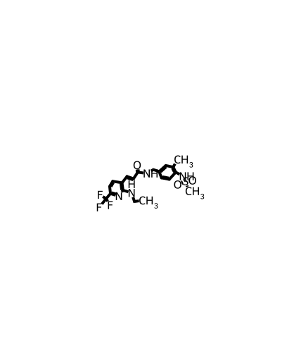 CCNc1nc(C(F)(F)F)ccc1/C=C/C(=O)NCc1ccc(NS(C)(=O)=O)c(C)c1